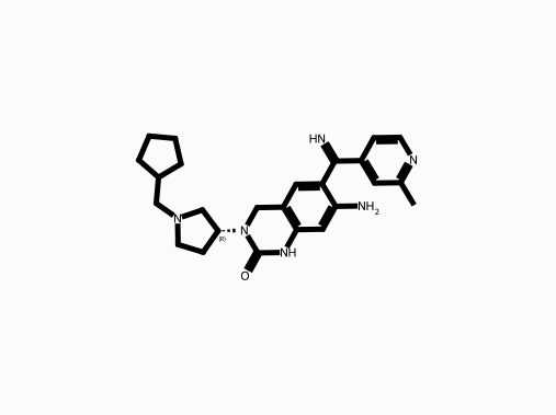 Cc1cc(C(=N)c2cc3c(cc2N)NC(=O)N([C@@H]2CCN(CC4CCCC4)C2)C3)ccn1